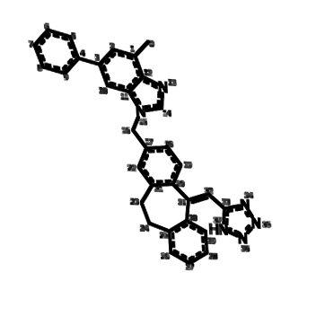 Cc1cc(-c2ccccc2)cc2c1ncn2Cc1ccc2c(c1)CCc1ccccc1/C2=C\c1nnn[nH]1